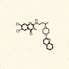 CC(CCNc1nc2cc(Cl)c(Cl)cc2c(=O)n1C)N1CCN(c2ccc3ccccc3n2)CC1